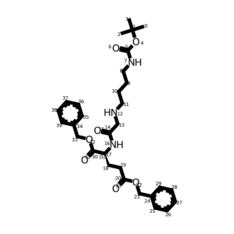 CC(C)(C)OC(=O)NCCCCNCC(=O)N[C@@H](CCC(=O)OCc1ccccc1)C(=O)OCc1ccccc1